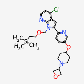 C[Si](C)(C)CCOCn1c(-c2ccc(OC3CCN(C4COC4)CC3)cn2)cc2c(Cl)ccnc21